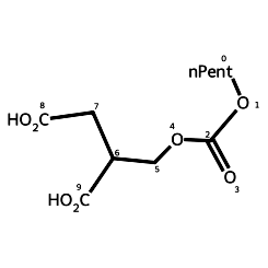 CCCCCOC(=O)OCC(CC(=O)O)C(=O)O